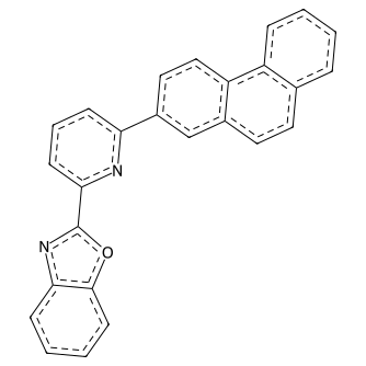 c1cc(-c2ccc3c(ccc4ccccc43)c2)nc(-c2nc3ccccc3o2)c1